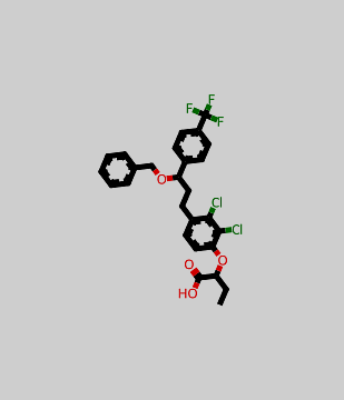 CCC(Oc1ccc(CCC(OCc2ccccc2)c2ccc(C(F)(F)F)cc2)c(Cl)c1Cl)C(=O)O